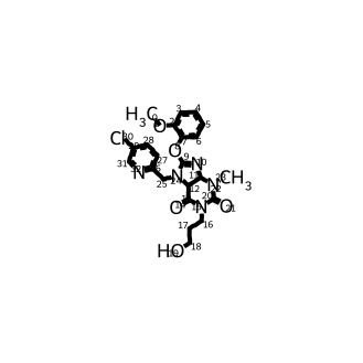 COc1ccccc1OC1=NC2C(C(=O)N(CCCO)C(=O)N2C)N1Cc1ccc(Cl)cn1